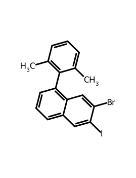 Cc1cccc(C)c1-c1cccc2cc(I)c(Br)cc12